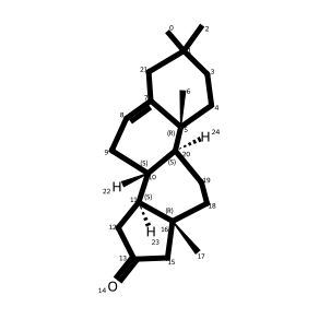 CC1(C)CC[C@@]2(C)C(=CC[C@H]3[C@@H]4CC(=O)C[C@@]4(C)CC[C@@H]32)C1